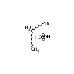 CCCCCCCCCCC(C)CCCCC[CH2][Na].O=S(=O)(O)O